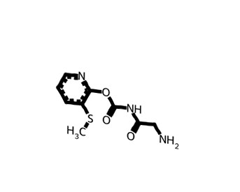 CSc1cccnc1OC(=O)NC(=O)CN